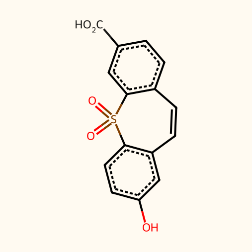 O=C(O)c1ccc2c(c1)S(=O)(=O)c1ccc(O)cc1C=C2